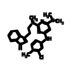 Cc1ccc(Nc2cc(N(C)C)nc(N(C)CCc3c[nH]c4ccccc34)n2)cc1Cl